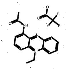 CC[n+]1c2ccccc2nc2c(NC(C)=O)cccc21.O=C([O-])C(F)(F)F